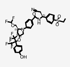 CCS(=O)(=O)c1ccc([C@H](CC#N)NC(=O)c2ccc(N3C[C@@H](OC(c4ccc(O)cc4)(C(F)(F)F)C(F)(F)F)C[C@H]3COC(F)F)cc2)cc1